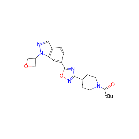 CC(C)(C)C(=O)N1CCC(c2noc(-c3ccc4cnn(C5COC5)c4c3)n2)CC1